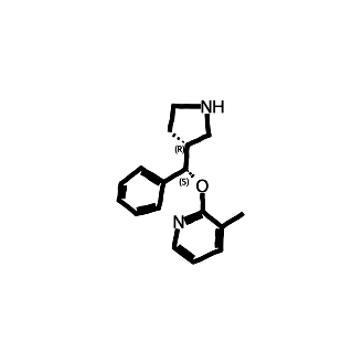 Cc1cccnc1O[C@H](c1ccccc1)[C@@H]1CCNC1